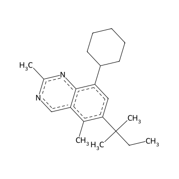 CCC(C)(C)c1cc(C2CCCCC2)c2nc(C)ncc2c1C